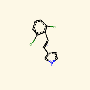 Clc1cccc(Cl)c1/C=C/c1cc[nH]c1